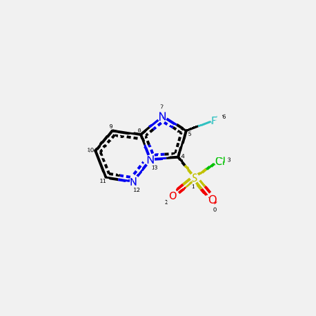 O=S(=O)(Cl)c1c(F)nc2cccnn12